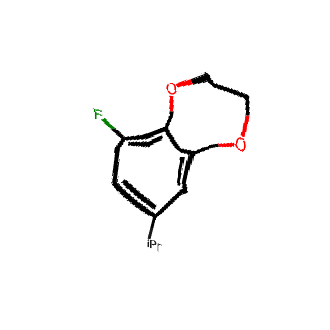 CC(C)c1cc(F)c2c(c1)OCCO2